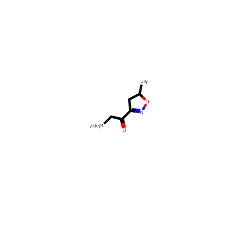 CCCCCCCCC(=O)C1=NOC(CCC)C1